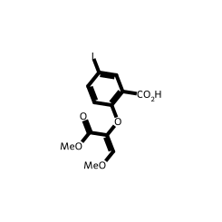 COC=C(Oc1ccc(I)cc1C(=O)O)C(=O)OC